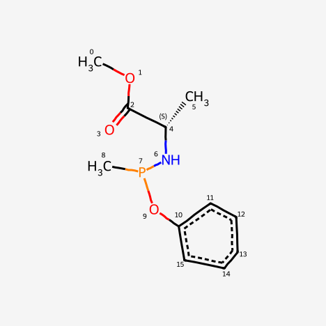 COC(=O)[C@H](C)NP(C)Oc1ccccc1